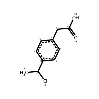 CC(Cl)c1ccc(CC(=O)O)cc1